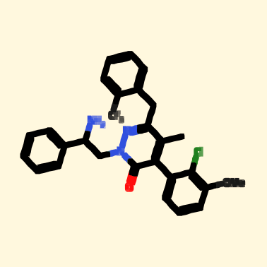 COc1cccc(-c2c(C)c(Cc3ccccc3C(F)(F)F)nn(CC(N)c3ccccc3)c2=O)c1Cl